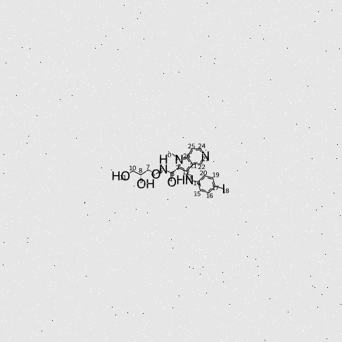 Cn1c(C(=O)NOC[C@H](O)CO)c(Nc2ccc(I)cc2)c2cnccc21